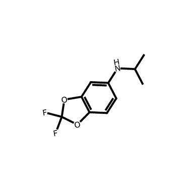 CC(C)Nc1ccc2c(c1)OC(F)(F)O2